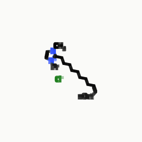 CCCCCCCC/C=C\CCCCCCCCc1n(C)cc[n+]1C(C)C.[Cl-]